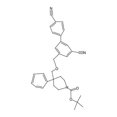 CC(C)(C)OC(=O)N1CCC(COCc2cc(C#N)cc(-c3ccc(C#N)cc3)c2)(c2ccccc2)CC1